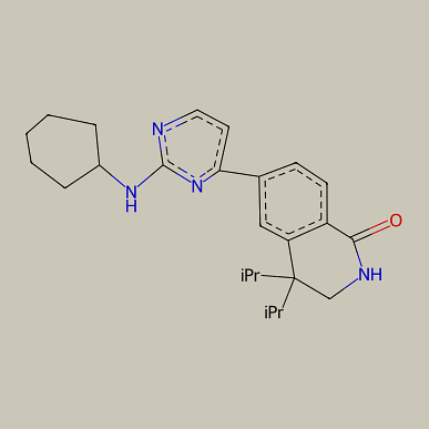 CC(C)C1(C(C)C)CNC(=O)c2ccc(-c3ccnc(NC4CCCCC4)n3)cc21